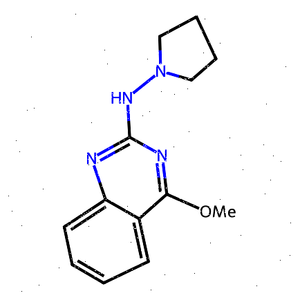 COc1nc(NN2CCCC2)nc2ccccc12